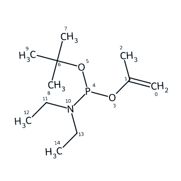 C=C(C)OP(OC(C)(C)C)N(CC)CC